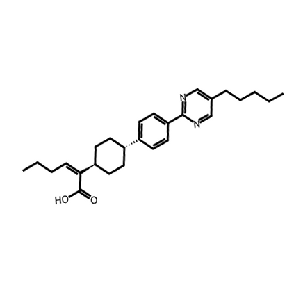 CCCC=C(C(=O)O)[C@H]1CC[C@H](c2ccc(-c3ncc(CCCCC)cn3)cc2)CC1